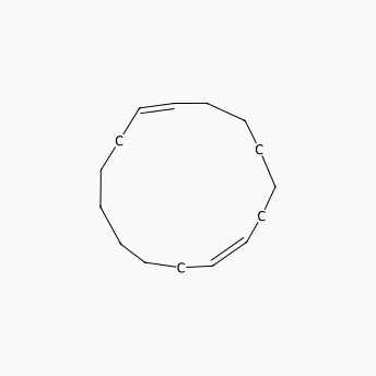 C1=CCCCCCCC=CCCCCC1